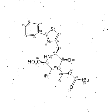 CC(C)C[C@H](N[C@@H](Cc1csc(-c2ccccc2)n1)C(=O)OC(C)OC(=O)C(C)(C)C)C(=O)O